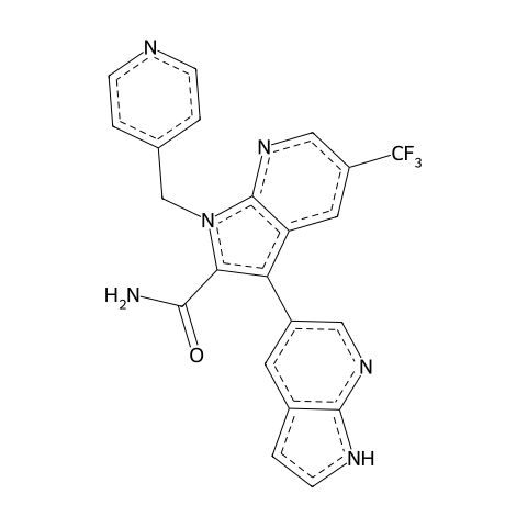 NC(=O)c1c(-c2cnc3[nH]ccc3c2)c2cc(C(F)(F)F)cnc2n1Cc1ccncc1